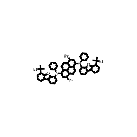 CCC(C)(C)c1cccc2c1oc1c(N(c3ccccc3)c3cc(C(C)C)c4ccc5c(N(c6ccccc6)c6cccc7c6oc6c(C(C)(C)CC)cccc67)cc(C(C)C)c6ccc3c4c65)cccc12